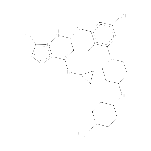 CCOC(=O)N1CCC(NC2CCN(c3cc(C#N)cc(NN4C=C(NC5CC5)c5ncc(C#N)n5N4)c3Cl)CC2)CC1